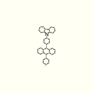 [c]1ccc(-c2c3ccccc3c(-c3ccc(-n4c5ccccc5c5ccccc54)cc3)c3ccccc23)cc1